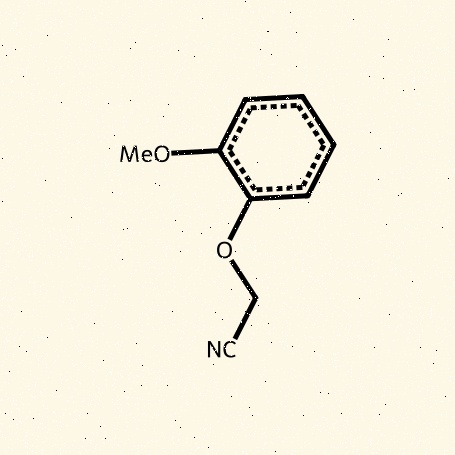 COc1ccccc1OCC#N